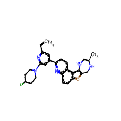 C=Cc1cc(-c2ccc3c(ccc4sc5c(c43)NC[C@@H](C)NC5)n2)cc(N2CCC(F)CC2)n1